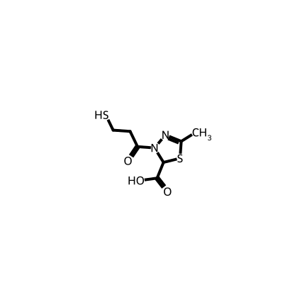 CC1=NN(C(=O)CCS)C(C(=O)O)S1